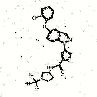 [2H]C([2H])([2H])N1CC[C@@H](NC(=O)c2cc(-n3ncc4cc(Oc5ccccc5Cl)ccc43)cs2)C1